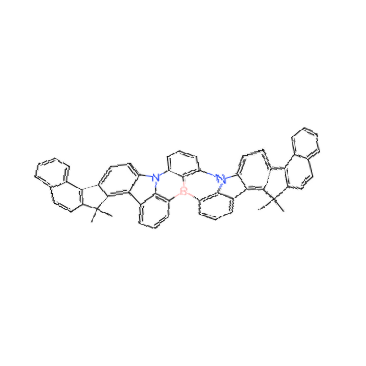 CC1(C)c2ccc3ccccc3c2-c2ccc3c(c21)c1cccc2c1n3-c1cccc3c1B2c1cccc2c4c5c(ccc4n-3c12)-c1c(ccc2ccccc12)C5(C)C